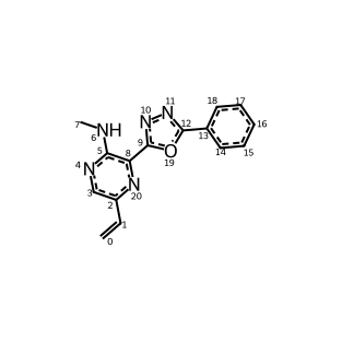 C=Cc1cnc(NC)c(-c2nnc(-c3ccccc3)o2)n1